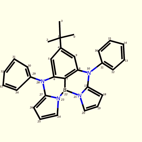 CC(C)(C)c1cc2c3c(c1)N(c1ccccc1)c1cccn1B3n1cccc1N2c1ccccc1